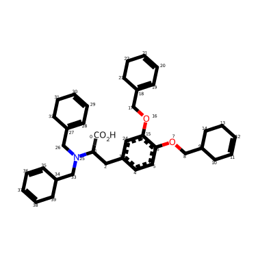 O=C(O)C(Cc1ccc(OCC2CC=CCC2)c(OCC2=CC=CCC2)c1)N(CC1=CC=CCC1)CC1C=CC=CC1